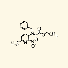 CCOC(=O)CN(Cc1ccccc1)c1ccc(C)nc1[N+](=O)[O-]